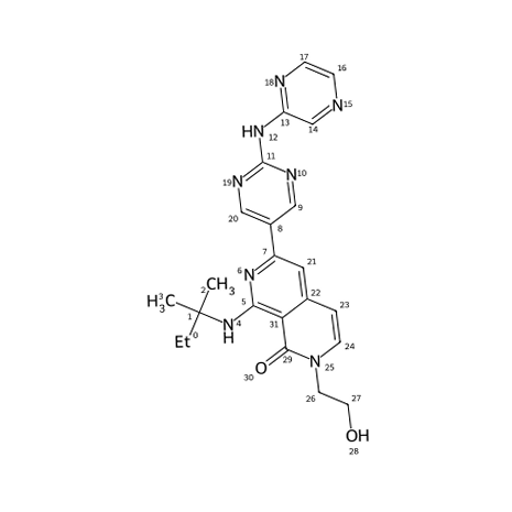 CCC(C)(C)Nc1nc(-c2cnc(Nc3cnccn3)nc2)cc2ccn(CCO)c(=O)c12